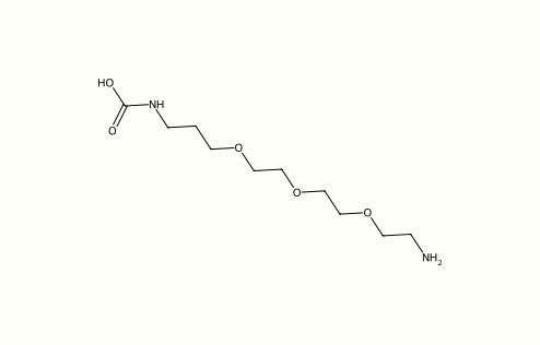 NCCOCCOCCOCCCNC(=O)O